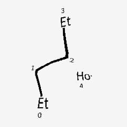 [CH2]CCCCC.[Ho]